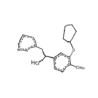 COc1ccc(C(O)Cc2cccnn2)cc1OC1CCCC1